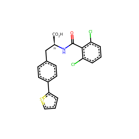 O=C(N[C@@H](Cc1ccc(-c2cccs2)cc1)C(=O)O)c1c(Cl)cccc1Cl